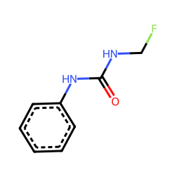 O=C(NCF)Nc1ccccc1